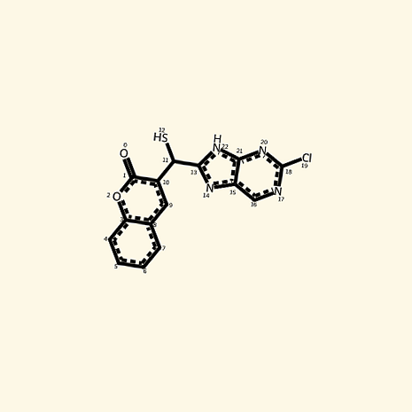 O=c1oc2ccccc2cc1C(S)c1nc2cnc(Cl)nc2[nH]1